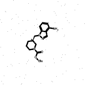 CC(C)(C)OC(=O)N1CCC[C@@H](Cn2ncc3c(N)cccc32)C1